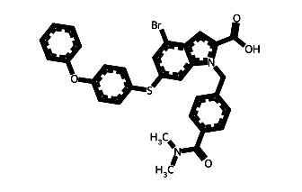 CN(C)C(=O)c1ccc(Cn2c(C(=O)O)cc3c(Br)cc(Sc4ccc(Oc5ccccc5)cc4)cc32)cc1